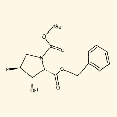 CC(C)(C)OC(=O)N1C[C@H](F)[C@@H](O)[C@H]1C(=O)OCc1ccccc1